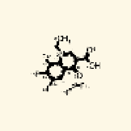 CCn1cc(C(=O)O)c(=O)c2cc(F)c(F)c(F)c21.F[B]F